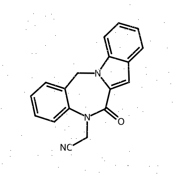 N#CCN1C(=O)c2cc3ccccc3n2Cc2ccccc21